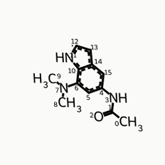 CC(=O)Nc1cc(N(C)C)c2[nH][c]cc2c1